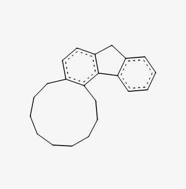 [CH]1c2ccccc2-c2c1ccc1c2CCCCCCCCC1